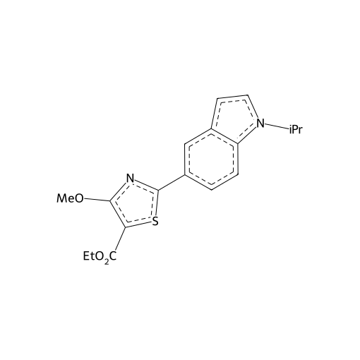 CCOC(=O)c1sc(-c2ccc3c(ccn3C(C)C)c2)nc1OC